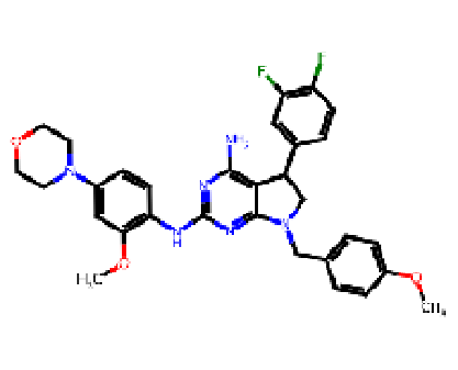 COc1ccc(CN2CC(c3ccc(F)c(F)c3)c3c(N)nc(Nc4ccc(N5CCOCC5)cc4OC)nc32)cc1